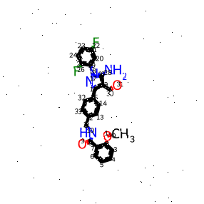 COc1ccccc1C(=O)NCc1ccc(-c2nn(-c3cc(F)ccc3F)c(N)c2C=O)cc1